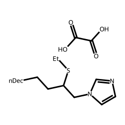 CCCCCCCCCCCCC(Cn1ccnc1)SCC.O=C(O)C(=O)O